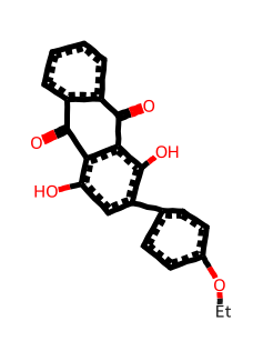 CCOc1ccc(-c2cc(O)c3c(c2O)C(=O)c2ccccc2C3=O)cc1